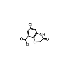 O=C1COc2c(cc(Cl)cc2C(=O)Cl)N1